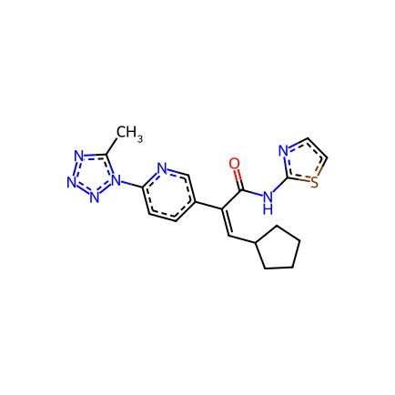 Cc1nnnn1-c1ccc(C(=CC2CCCC2)C(=O)Nc2nccs2)cn1